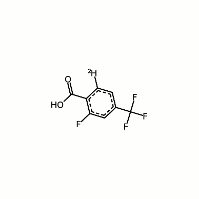 [2H]c1cc(C(F)(F)F)cc(F)c1C(=O)O